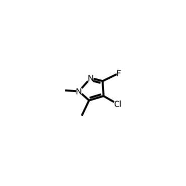 Cc1c(Cl)c(F)nn1C